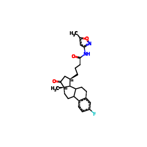 Cc1cc(NC(=O)CCC[C@@H]2CC(=O)[C@@]3(C)CCC4c5ccc(F)cc5CCC4C23)no1